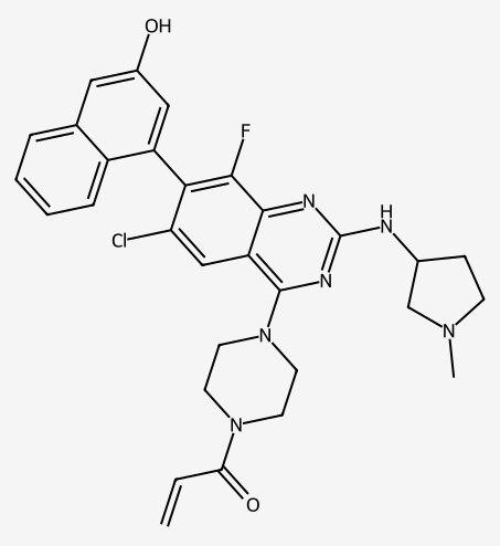 C=CC(=O)N1CCN(c2nc(NC3CCN(C)C3)nc3c(F)c(-c4cc(O)cc5ccccc45)c(Cl)cc23)CC1